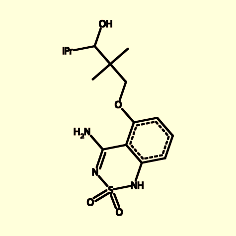 CC(C)C(O)C(C)(C)COc1cccc2c1C(N)=NS(=O)(=O)N2